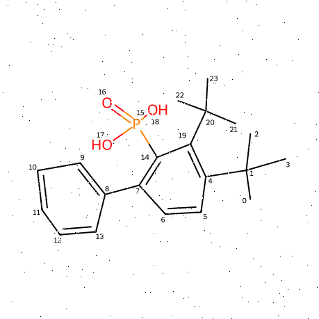 CC(C)(C)c1ccc(-c2ccccc2)c(P(=O)(O)O)c1C(C)(C)C